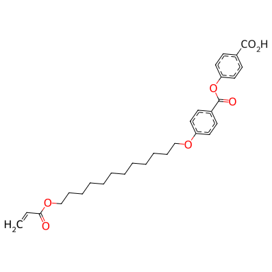 C=CC(=O)OCCCCCCCCCCCCOc1ccc(C(=O)Oc2ccc(C(=O)O)cc2)cc1